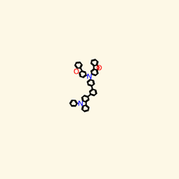 c1ccc(-n2c3ccccc3c3cc(-c4cccc(-c5ccc(N(c6ccc7oc8ccccc8c7c6)c6ccc7oc8ccccc8c7c6)cc5)c4)ccc32)cc1